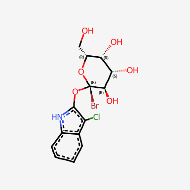 OC[C@H]1O[C@@](Br)(Oc2[nH]c3ccccc3c2Cl)[C@H](O)[C@@H](O)[C@H]1O